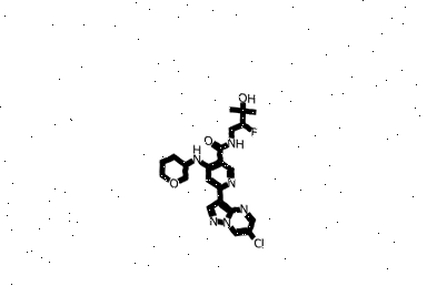 CC(C)(O)C(F)CNC(=O)c1cnc(-c2cnn3cc(Cl)cnc23)cc1NC1CCCOC1